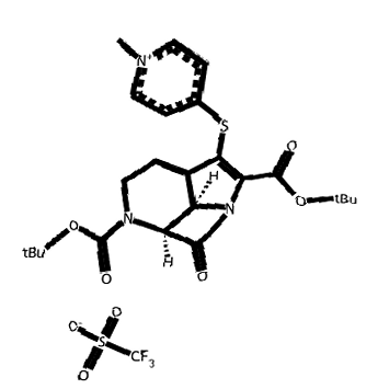 C[n+]1ccc(SC2=C(C(=O)OC(C)(C)C)N3C(=O)[C@@H]4[C@H]3C2CCN4C(=O)OC(C)(C)C)cc1.O=S(=O)([O-])C(F)(F)F